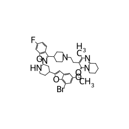 COc1cc(Br)c2oc(C3CCNCC3)cc2c1.Cc1nc2n(c(=O)c1CCN1CCC(c3noc4cc(F)ccc34)CC1)CCCC2